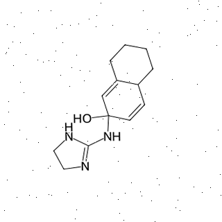 OC1(NC2=NCCN2)C=CC2CCCCC2=C1